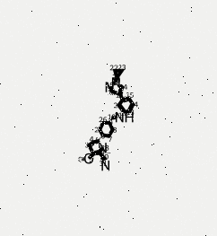 COc1ccc([C@H]2CC[C@H](CNc3cccc(-c4cnn(C5CC5)c4)c3)CC2)nc1C#N